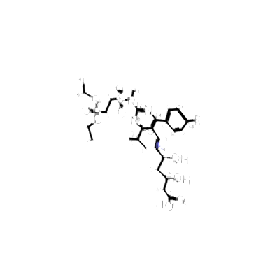 CCOP(=O)(CCS(=O)(=O)N(C)c1nc(-c2ccc(F)cc2)c(/C=C/[C@@H](O)C[C@@H](O)CC(=O)O)c(C(C)C)n1)OCC